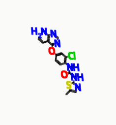 C=Cc1c(N)ncnc1Oc1ccc(NC(=O)Nc2ncc(C)s2)c(Cl)c1